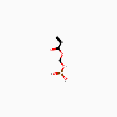 C=CC(=O)OCOS(=O)O